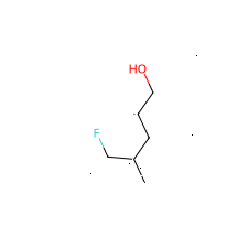 CC(CF)C[CH]CO